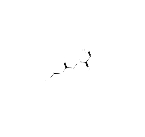 C=CC(=O)SCC(=O)OCC